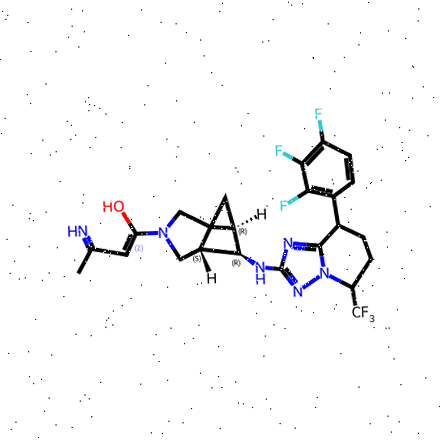 CC(=N)/C=C(\O)N1C[C@H]2[C@H](Nc3nc4n(n3)C(C(F)(F)F)CCC4c3ccc(F)c(F)c3F)[C@@H]3CC23C1